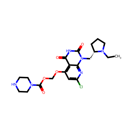 CCN1CCC[C@H]1Cn1c(=O)[nH]c(=O)c2c(OCOC(=O)N3CCNCC3)cc(Cl)nc21